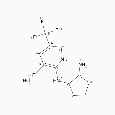 Cl.NC1CCCC1Nc1ncc(C(F)(F)F)cc1F